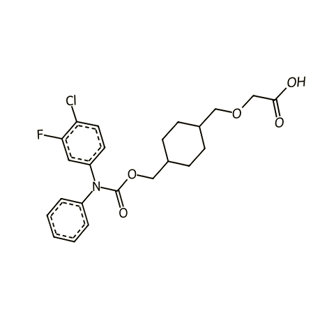 O=C(O)COCC1CCC(COC(=O)N(c2ccccc2)c2ccc(Cl)c(F)c2)CC1